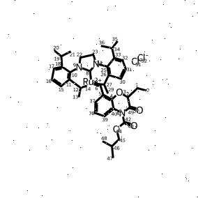 CCC1Oc2c(/[CH]=[Ru+2]/[CH]3N(c4c(C(C)C)cccc4C(C)C)CCN3c3c(C(C)C)cccc3C(C)C)cccc2N(C(=O)OCC(C)C)C1=O.[Cl-].[Cl-]